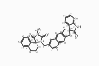 CC(C)N1C(=O)N(Cc2cnc3cc4c(cc3c2)C[C@@]2(C4)C(=O)Nc3ncccc32)[C@]2(CCCc3ccccc32)C1=O